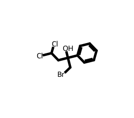 OC(CBr)(CC(Cl)Cl)c1ccccc1